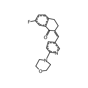 O=C1C(=Cc2ccc(N3CCOCC3)nc2)CCc2ccc(F)cc21